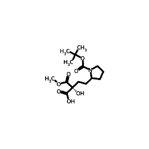 COC(=O)[C@@](O)(CCC1CCCN1C(=O)OC(C)(C)C)C(=O)O